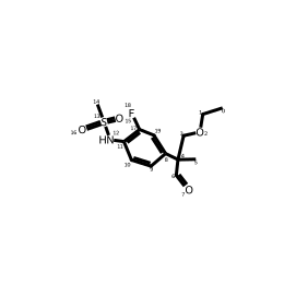 CCOCC(C)(C=O)c1ccc(NS(C)(=O)=O)c(F)c1